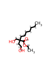 CCCCCCCC(CO)(CCO)C(=O)OCC